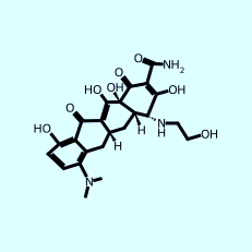 CN(C)c1ccc(O)c2c1C[C@H]1C[C@H]3[C@@H](NCCO)C(O)=C(C(N)=O)C(=O)[C@@]3(O)C(O)=C1C2=O